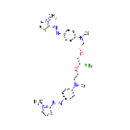 CCN(CCOCCOCCN(CC)c1ccc(/N=N/c2scc[n+]2C)cc1)c1ccc(/N=N/c2scc[n+]2C)cc1.[Br-].[Br-]